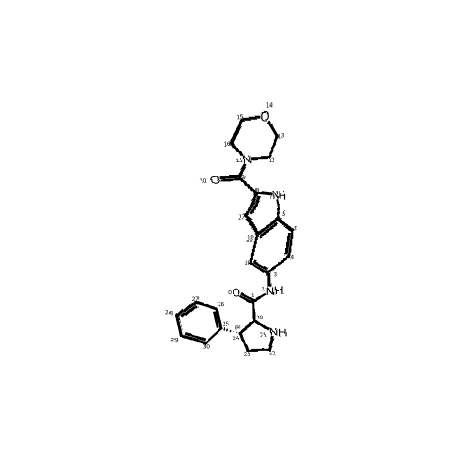 O=C(Nc1ccc2[nH]c(C(=O)N3CCOCC3)cc2c1)C1NCC[C@@H]1c1ccccc1